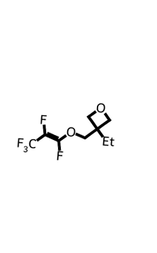 CCC1(COC(F)=C(F)C(F)(F)F)COC1